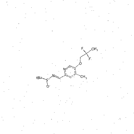 Cc1cc(/C=N/[S+]([O-])C(C)(C)C)ncc1OCC(C)(F)F